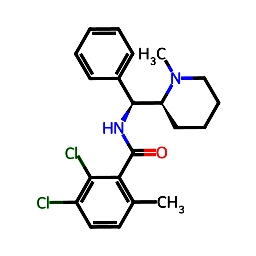 Cc1ccc(Cl)c(Cl)c1C(=O)N[C@@H](c1ccccc1)[C@@H]1CCCCN1C